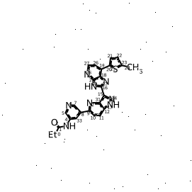 CCC(=O)Nc1cncc(-c2ccc3[nH]nc(-c4nc5c(-c6ccc(C)s6)ccnc5[nH]4)c3n2)c1